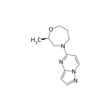 C[C@@H]1CN(c2ccn3nccc3n2)CCCO1